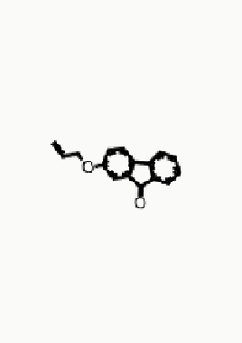 C=CCOc1ccc2c(c1)C(=O)c1ccccc1-2